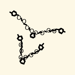 Cc1ccc(COCCOCCOCCOc2ccccc2OCCOCCOCCOCc2ccc(C)cc2)cc1.Cc1ccc(COCCOCCOc2ccccc2OCCOCCOCc2ccc(C)cc2)cc1